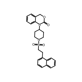 O=C1OCc2ccccc2N1C1CCN(S(=O)(=O)CCc2cccc3ccccc23)CC1